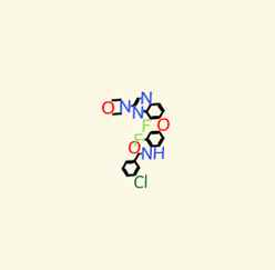 O=C(Nc1ccc(Oc2ccc3ncc(N4CCOCC4)nc3c2)c(F)c1F)c1cccc(Cl)c1